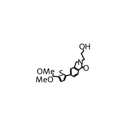 COC(OC)c1ccc(-c2ccc3c(c2)CN(CCCO)C3=O)s1